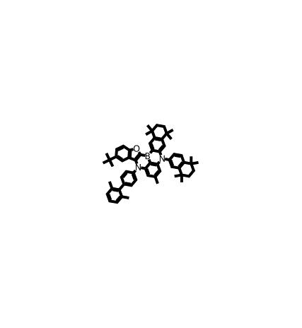 Cc1cc2c3c(c1)N(c1ccc(-c4c(C)cccc4C)cc1)c1c(oc4ccc(C(C)(C)C)cc14)B3c1cc3c(cc1N2c1ccc2c(c1)C(C)(C)CCC2(C)C)C(C)(C)CCC3(C)C